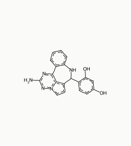 Nc1nc2c3c(ccn3n1)C(c1ccc(O)cc1O)Nc1ccccc1-2